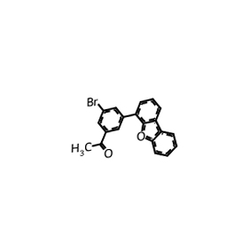 CC(=O)c1cc(Br)cc(-c2cccc3c2oc2ccccc23)c1